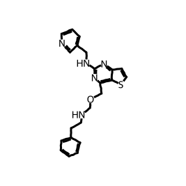 c1ccc(CCNCOCc2nc(NCc3cccnc3)nc3ccsc23)cc1